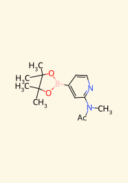 CC(=O)N(C)c1cc(B2OC(C)(C)C(C)(C)O2)ccn1